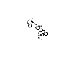 NC[C@@H](O)CNC(=O)C(Cc1ccc2ccccc2c1)NC(=O)CCCN1C(=O)CCSc2ccccc21